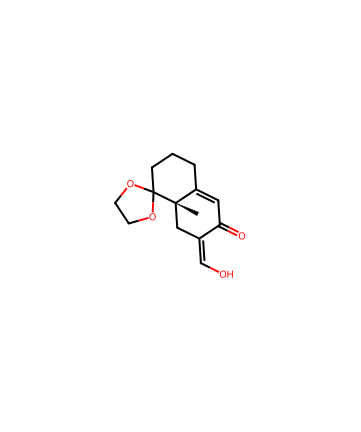 C[C@]12C/C(=C/O)C(=O)C=C1CCCC21OCCO1